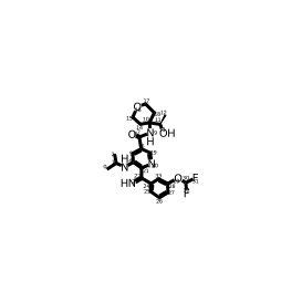 CC(C)Nc1cc(C(=O)NC2([C@@H](C)O)CCOCC2)cnc1C(=N)c1cccc(OC(F)F)c1